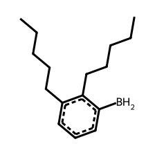 Bc1cccc(CCCCC)c1CCCCC